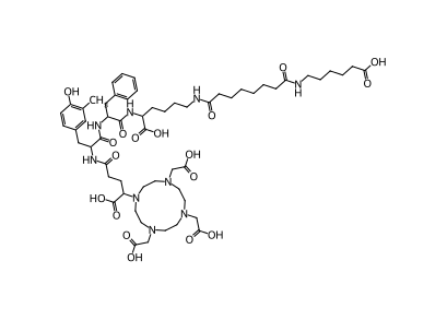 Cc1cc(CC(NC(=O)CCC(C(=O)O)N2CCN(CC(=O)O)CCN(CC(=O)O)CCN(CC(=O)O)CC2)C(=O)NC(Cc2ccccc2)C(=O)NC(CCCCNC(=O)CCCCCCC(=O)NCCCCCC(=O)O)C(=O)O)ccc1O